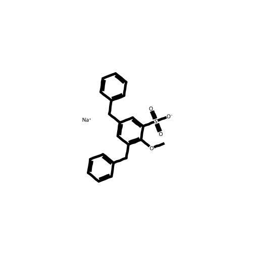 COc1c(Cc2ccccc2)cc(Cc2ccccc2)cc1S(=O)(=O)[O-].[Na+]